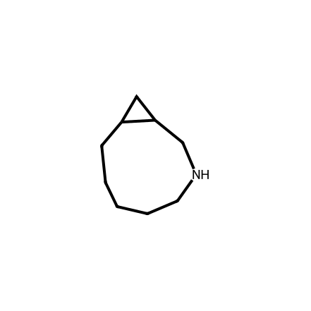 C1CCNCC2CC2CC1